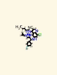 C=CCCCNc1c(C#N)cnc2c(Cl)cc(N[C@@H](c3ccc(F)cc3)c3cn(C4CC4)nn3)cc12